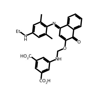 CCNc1cc(C)c(N=C2C=C(OCNc3cc(C(=O)O)cc(C(=O)O)c3)C(=O)c3ccccc32)c(C)c1